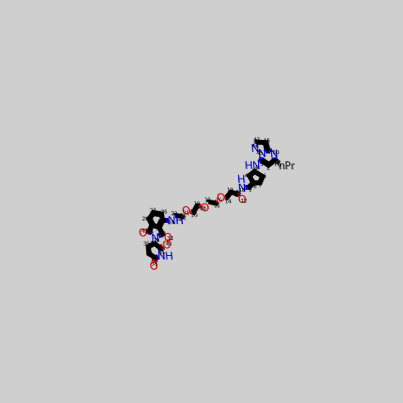 CCCc1cc(N[C@@H]2CCC(CNC(=O)CCOCCOCCOCCNc3cccc4c3C(=O)N(C3CCC(=O)NC3=O)C4=O)C2)n2nccc2n1